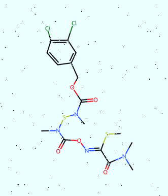 CSC(=NOC(=O)N(C)SN(C)C(=O)OCc1ccc(Cl)c(Cl)c1)C(=O)N(C)C